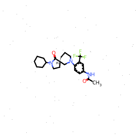 CC(=O)Nc1ccc(N2CCC[C@@]3(CCN(C4CCCCC4)C3=O)C2)c(C(F)(F)F)c1